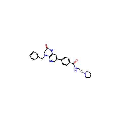 O=C1CN(Cc2ccccc2)c2ncc(-c3ccc(C(=O)NCCN4CCCC4)cc3)cc2N1